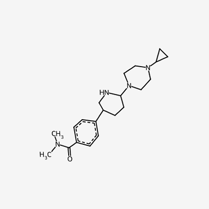 CN(C)C(=O)c1ccc(C2CCC(N3CCN(C4CC4)CC3)NC2)cc1